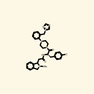 CCCCN1Cc2ccccc2C1CC(=O)N[C@H](Cc1ccc(Cl)cc1)C(=O)N1CCN(c2ccccc2Cn2cncn2)CC1